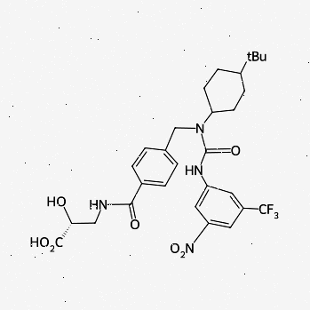 CC(C)(C)C1CCC(N(Cc2ccc(C(=O)NC[C@@H](O)C(=O)O)cc2)C(=O)Nc2cc([N+](=O)[O-])cc(C(F)(F)F)c2)CC1